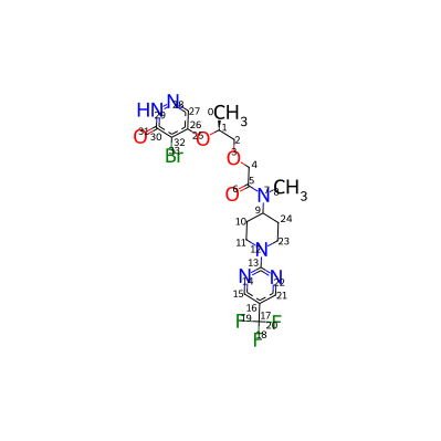 C[C@@H](COCC(=O)N(C)C1CCN(c2ncc(C(F)(F)F)cn2)CC1)Oc1cn[nH]c(=O)c1Br